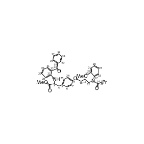 COC(=O)C(Cc1ccc(OCCCN(C(=O)C(C)C)c2ccccc2OC)cc1)Nc1ccccc1C(=O)c1ccccc1